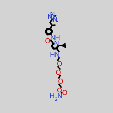 CC(Cc1nncn1C)c1cccc(NC(=O)c2ccc(CNCCOCCOCCOCCOC(N)=O)c(C3CC3)n2)c1